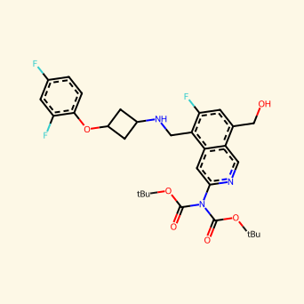 CC(C)(C)OC(=O)N(C(=O)OC(C)(C)C)c1cc2c(CNC3CC(Oc4ccc(F)cc4F)C3)c(F)cc(CO)c2cn1